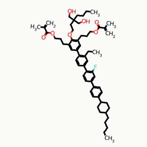 C=C(C)C(=O)OCCCc1cc(-c2ccc(-c3ccc(-c4ccc(C5CCC(CCCCC)CC5)cc4)cc3F)cc2CC)cc(CCCOC(=O)C(=C)C)c1OCCC(CO)(CO)CCCC